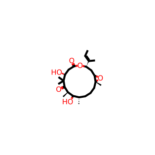 C/C=C(\C)[C@@H]1CC2O[C@]2(C)CCC[C@H](C)C(O)[C@@H](C)C(=O)C(C)(C)[C@@H](O)CC(=O)O1